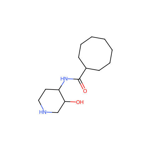 O=C(NC1CCNCC1O)C1CCCCCCC1